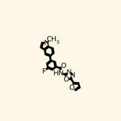 Cn1ccc2cc(-c3cc(F)cc(C(=O)Nc4nnc(-c5ccco5)o4)c3)ccc21